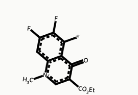 CCOC(=O)c1cn(C)c2cc(F)c(F)c(F)c2c1=O